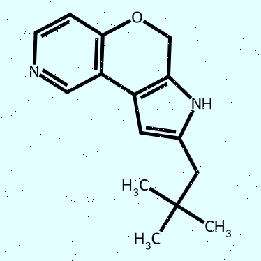 CC(C)(C)Cc1cc2c([nH]1)COc1ccncc1-2